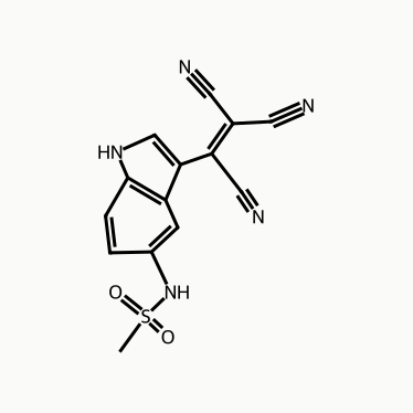 CS(=O)(=O)Nc1ccc2[nH]cc(C(C#N)=C(C#N)C#N)c2c1